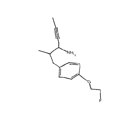 CC#CC(N)C(C)Cc1ccc(OCCF)cc1